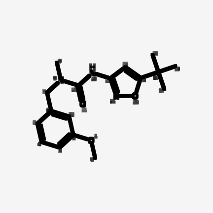 COc1cccc(CN(C)C(=O)Nc2cc(C(C)(C)C)on2)c1